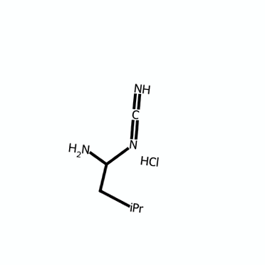 CC(C)CC(N)N=C=N.Cl